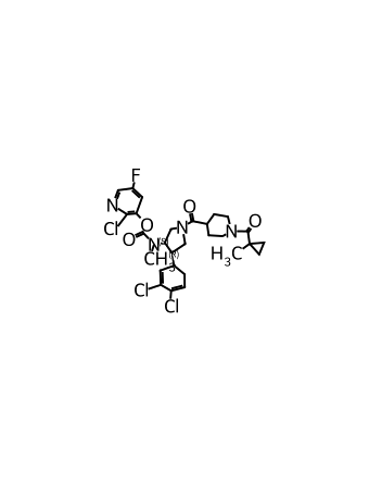 CN(C(=O)Oc1cc(F)cnc1Cl)[C@@H]1CN(C(=O)C2CCN(C(=O)C3(C)CC3)CC2)C[C@H]1C1C=C(Cl)C(Cl)=CC1